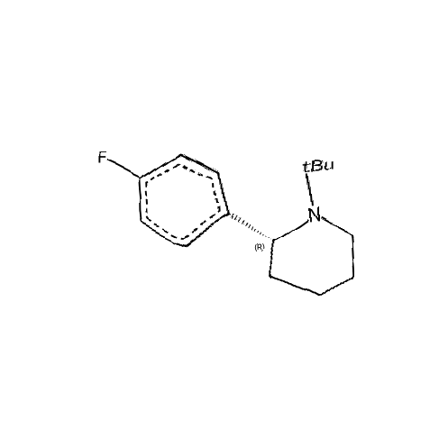 CC(C)(C)N1CCCC[C@@H]1c1ccc(F)cc1